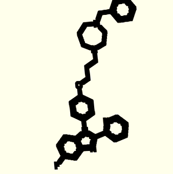 Fc1ccc2c(c1)nc(-c1ccccn1)n2-c1ccc(OCCCN2CCCN(Cc3ccccc3)CC2)cc1